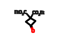 CCOC(=O)C1(C(=O)OCC)CC(=O)C1